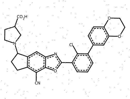 N#Cc1c2c(cc3nc(-c4cccc(-c5ccc6c(c5)OCCO6)c4Cl)oc13)C(N1CCC(C(=O)O)C1)CC2